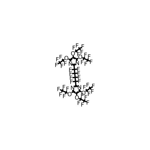 FC(F)(F)C(F)(F)Oc1nc(C(F)(F)C(F)(F)C(F)(F)C(F)(F)c2nc(OC(F)(F)C(F)(F)F)c(OC(F)(F)C(F)(F)F)c(OC(F)(F)C(F)(F)F)n2)nc(OC(F)(F)C(F)(F)F)c1OC(F)(F)C(F)(F)F